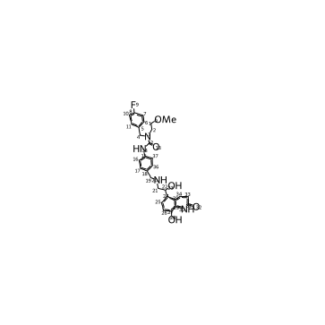 COCCN(Cc1ccc(F)cc1)C(=O)Nc1ccc(CNCC(O)c2ccc(O)c3[nH]c(=O)ccc23)cc1